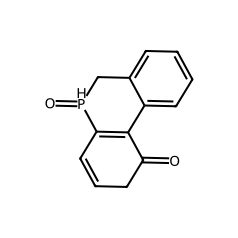 O=C1CC=CC2=C1c1ccccc1C[PH]2=O